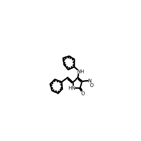 O=NC1=C(Nc2ccccc2)/C(=C/c2ccccc2)NC1=O